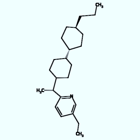 CCC[C@H]1CC[C@H](C2CCC(C(C)c3ccc(CC)cn3)CC2)CC1